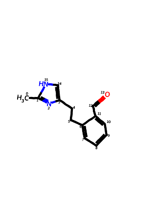 Cc1nc(CCc2ccccc2C=O)c[nH]1